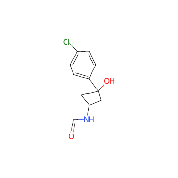 O=CNC1CC(O)(c2ccc(Cl)cc2)C1